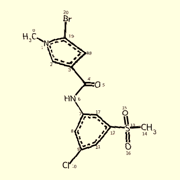 Cn1cc(C(=O)Nc2cc(Cl)cc(S(C)(=O)=O)c2)cc1Br